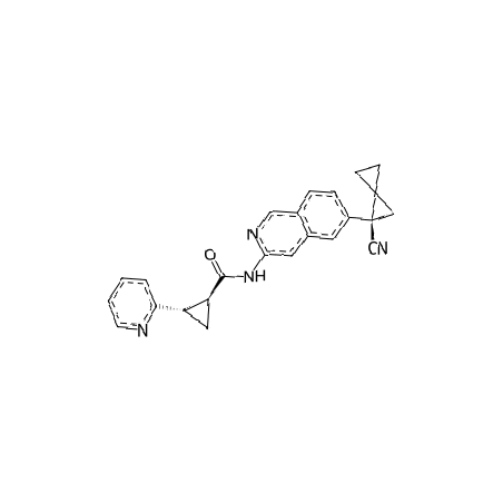 N#C[C@]1(c2ccc3cnc(NC(=O)[C@H]4C[C@@H]4c4ccccn4)cc3c2)CC12CC2